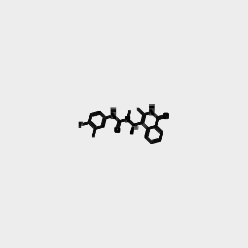 Cc1cc(NC(=O)N(C)[C@H](C)c2c(C)[nH]c(=O)c3ccccc23)ccc1F